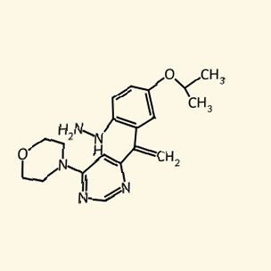 C=C(c1cc(N2CCOCC2)ncn1)c1cc(OC(C)C)ccc1NN